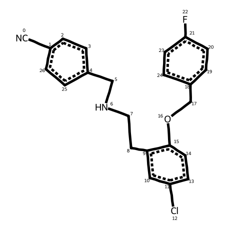 N#Cc1ccc(CNCCc2cc(Cl)ccc2OCc2ccc(F)cc2)cc1